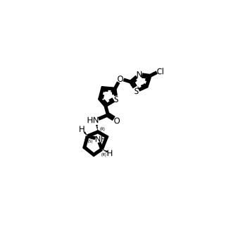 O=C(N[C@@H]1C[C@H]2CC[C@@H]1N2)c1ccc(Oc2nc(Cl)cs2)s1